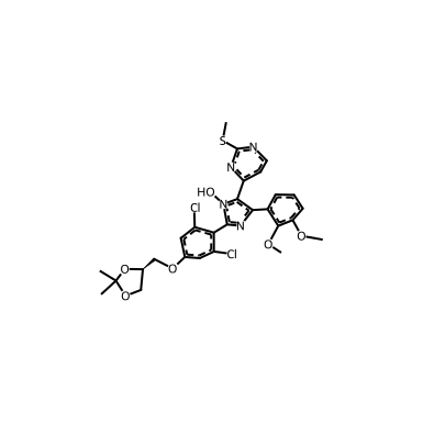 COc1cccc(-c2nc(-c3c(Cl)cc(OC[C@H]4COC(C)(C)O4)cc3Cl)n(O)c2-c2ccnc(SC)n2)c1OC